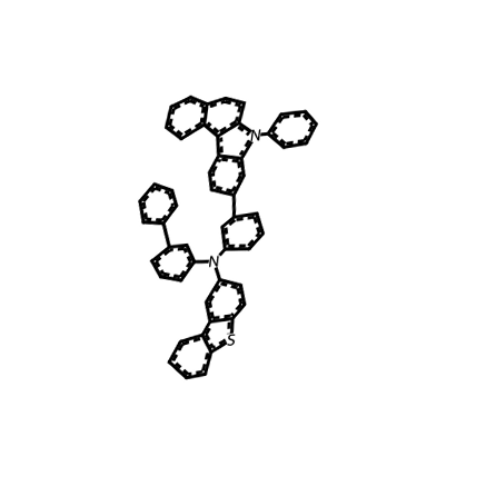 c1ccc(-c2cccc(N(c3cccc(-c4ccc5c6c7ccccc7ccc6n(-c6ccccc6)c5c4)c3)c3ccc4sc5ccccc5c4c3)c2)cc1